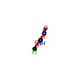 O=C(Nc1ccc(COC2CCN(C3COC3)CC2)cc1)OCc1ccc(Cl)cc1